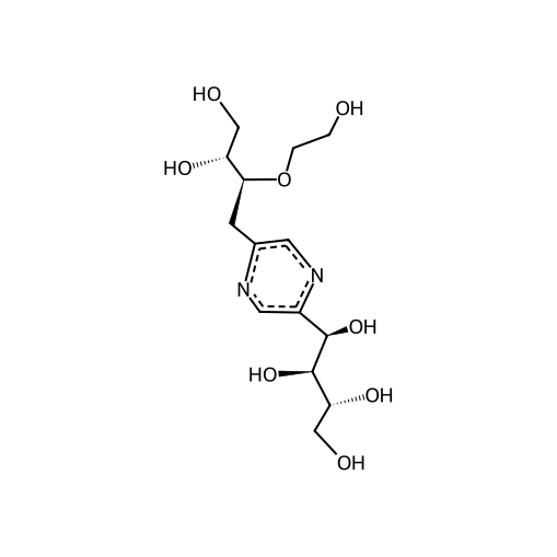 OCCO[C@@H](Cc1cnc([C@@H](O)[C@H](O)[C@H](O)CO)cn1)[C@H](O)CO